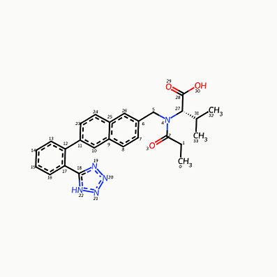 CCC(=O)N(Cc1ccc2cc(-c3ccccc3-c3nnn[nH]3)ccc2c1)[C@H](C(=O)O)C(C)C